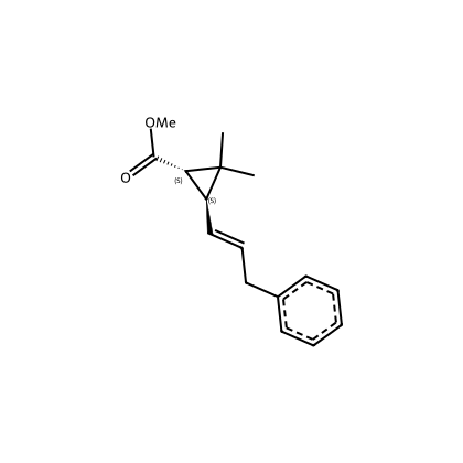 COC(=O)[C@H]1[C@H](C=CCc2ccccc2)C1(C)C